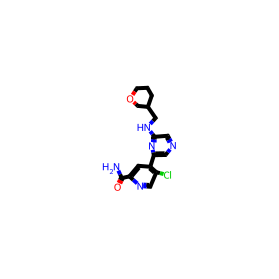 NC(=O)c1cc(-c2cncc(NCC3CCCOC3)n2)c(Cl)cn1